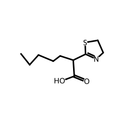 CCCCCC(C(=O)O)C1=NCCS1